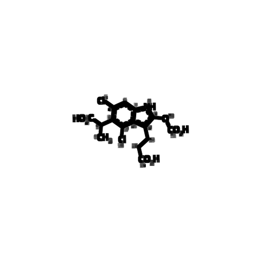 CC(C(=O)O)c1c(Cl)cc2[nH]c(OC(=O)O)c(CCC(=O)O)c2c1Cl